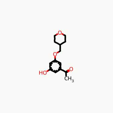 CC(=O)c1cc(O)cc(OCC2CCOCC2)c1